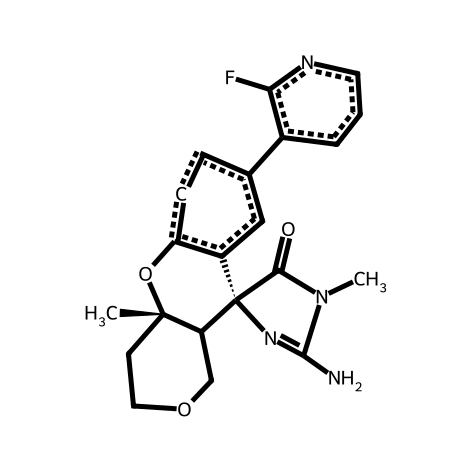 CN1C(=O)[C@]2(N=C1N)c1cc(-c3cccnc3F)ccc1O[C@@]1(C)CCOCC12